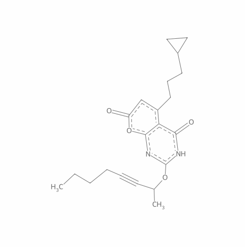 CCCCC#CC(C)Oc1nc2oc(=O)cc(CCCC3CC3)c2c(=O)[nH]1